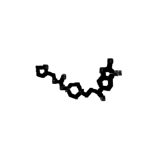 O=C(OCC1CCCO1)ON1CCN(CCC(=O)c2ccc3[nH]c(=O)oc3c2)CC1